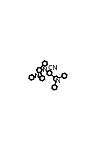 N#Cc1cc(-c2cc(-c3ccccc3)nc(-c3ccccc3)c2)ccc1-n1c2ccccc2c2ccc3c(c4ccccc4n3-c3ccccc3)c21